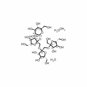 O.O.O.OC[C@H]1O[C@@](CO)(OC[C@@]2(OC[C@@]3(O[C@H]4O[C@H](CO)[C@@H](O)[C@H](O)[C@H]4O)O[C@H](CO)[C@@H](O)[C@@H]3O)O[C@H](CO)[C@@H](O)[C@@H]2O)[C@@H](O)[C@@H]1O